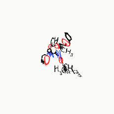 CC(CCOCc1ccccc1)OCCC(C)Oc1ccc2c(c1)c(-c1cnn(COCC[Si](C)(C)C)c1)nn2C1CCCCO1